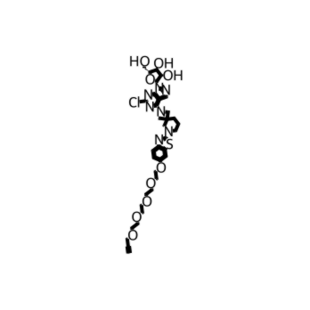 C#CCOCCOCCOCCOCCOc1ccc2nc(N3CCCC4(C3)CN(c3nc(Cl)nc5c3cnn5[C@@H]3O[C@H](CO)[C@@H](O)[C@H]3O)C4)sc2c1